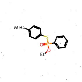 CCOP(=O)(Sc1ccc(OC)cc1)c1ccccc1